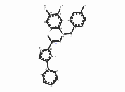 C/C(=C\N(Sc1ccc(C)cc1)c1cc(F)c(F)cn1)c1nc(-c2ccccc2)cs1